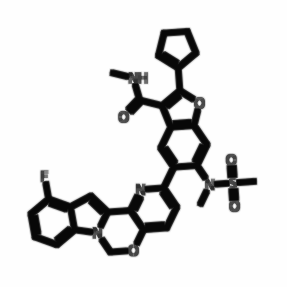 CNC(=O)c1c(C2=CCCC2)oc2cc(N(C)S(C)(=O)=O)c(-c3ccc4c(n3)-c3cc5c(F)cccc5n3CO4)cc12